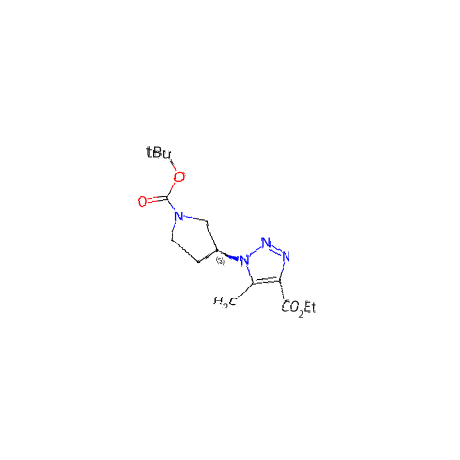 CCOC(=O)c1nnn([C@H]2CCN(C(=O)OC(C)(C)C)C2)c1C